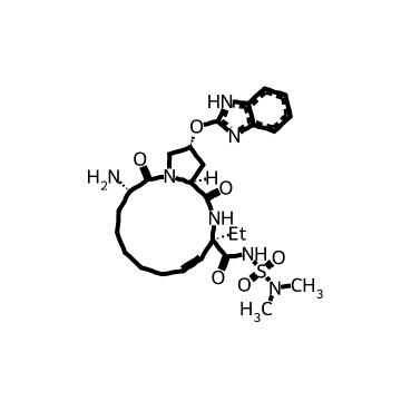 CC[C@]1(C(=O)NS(=O)(=O)N(C)C)/C=C\CCCCC[C@H](N)C(=O)N2C[C@H](Oc3nc4ccccc4[nH]3)C[C@H]2C(=O)N1